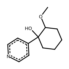 COC1CCCCC1(O)c1ccncc1